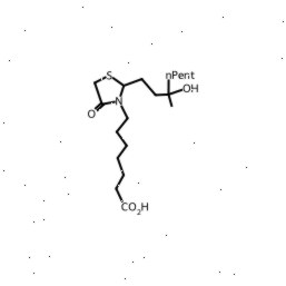 CCCCCC(C)(O)CCC1SCC(=O)N1CCCCCCC(=O)O